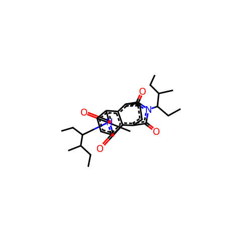 CCC(C)C(CC)n1c(=O)c2ccc(c1=O)c1c3ccc(c(=O)n(C(CC)C(C)CC)c3=O)c21